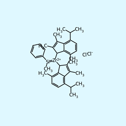 CC1=C(C)[CH]([Zr+2]([CH]2C(C)=C(C)c3c(C(C)C)ccc(C)c32)=[Si](C)c2ccccc2)c2c(C)ccc(C(C)C)c21.[Cl-].[Cl-]